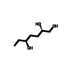 CC[C@H](O)CC[C@H](O)CO